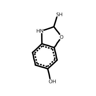 Oc1ccc2c(c1)OC(S)N2